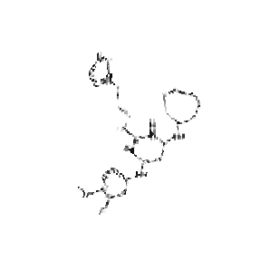 COc1ccc(NC2=NC(NC3CCCCCC3)NC(NCCCn3ccnc3)=N2)cc1F